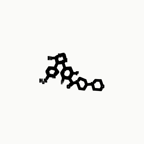 CCc1ncnc(-c2cc(F)c(C(=O)N3CCC(N4CCOCC4)CC3)c(F)c2)c1-c1ccc(N)nc1